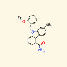 CCCCc1c[c]c2c3c(C(N)=O)cccc3n(Cc3ccccc3OCC)c2c1